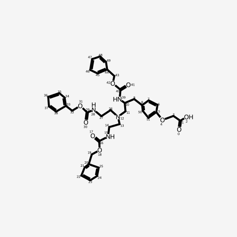 O=C(O)COc1ccc(CC(CN(CCNC(=O)OCc2ccccc2)CCNC(=O)OCc2ccccc2)NC(=O)OCc2ccccc2)cc1